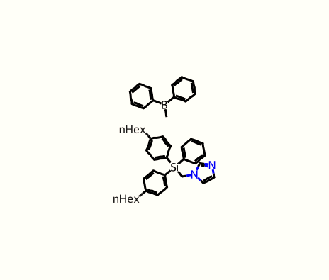 CB(c1ccccc1)c1ccccc1.CCCCCCc1ccc([Si](Cn2ccnc2)(c2ccccc2)c2ccc(CCCCCC)cc2)cc1